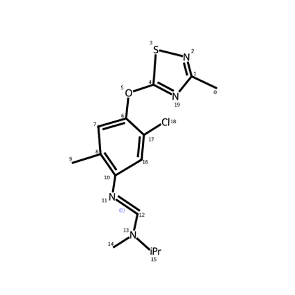 Cc1nsc(Oc2cc(C)c(/N=C/N(C)C(C)C)cc2Cl)n1